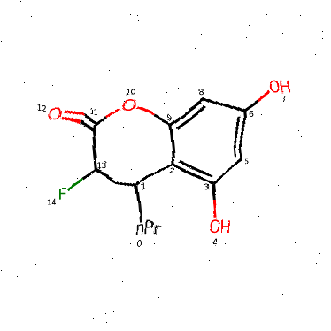 CCCC1c2c(O)cc(O)cc2OC(=O)C1F